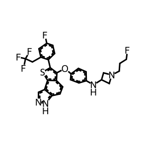 FCCCN1CC(Nc2ccc(Oc3c(-c4ccc(F)cc4CC(F)(F)F)sc4c3ccc3[nH]ncc34)cc2)C1